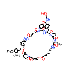 COc1ccc(CC[C@H]2OC(=O)[C@@H]3CCCCN3C(=O)C(=O)C(C)(C)COC(=O)/C=C/CCN(C)C(=O)[C@H](CC(C)C)N(C)C(=O)[C@H]3CCCN3C(=O)[C@H](Cc3ccc(C(=O)NCCO)cc3)NC(=O)[C@H](c3ccccc3)NC(=O)CCC(=O)Nc3cccc2c3)cc1OC